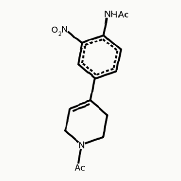 CC(=O)Nc1ccc(C2=CCN(C(C)=O)CC2)cc1[N+](=O)[O-]